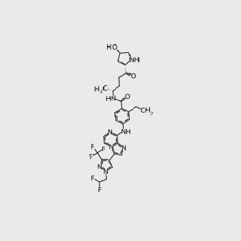 CCc1cc(Nc2nccn3c(-c4cn(CC(F)F)nc4C(F)(F)F)cnc23)ccc1C(=O)N[C@H](C)CCC(=O)[C@@H]1C[C@@H](O)CN1